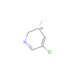 C[C@@H]1C=C(Cl)C=NC1